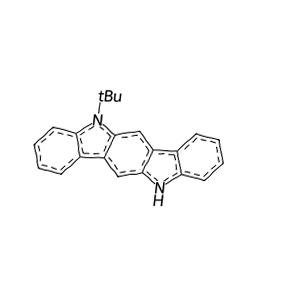 CC(C)(C)n1c2ccccc2c2cc3[nH]c4ccccc4c3cc21